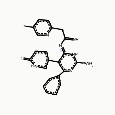 Cc1ccc(CC(=N)/N=c2\[nH]c(N)nc(-c3ccccc3)c2-c2ccc(=O)[nH]c2)nc1